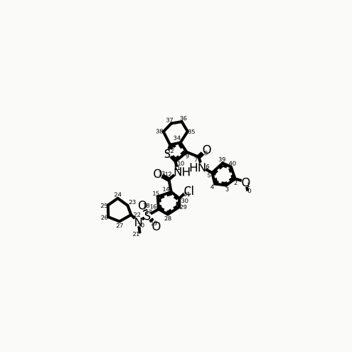 COc1ccc(NC(=O)c2c(NC(=O)c3cc(S(=O)(=O)N(C)C4CCCCC4)ccc3Cl)sc3c2CCCC3)cc1